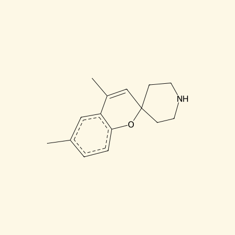 CC1=CC2(CCNCC2)Oc2ccc(C)cc21